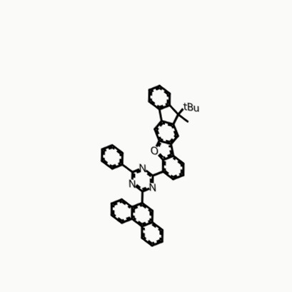 CC(C)(C)C1(C)c2ccccc2-c2cc3oc4c(-c5nc(-c6ccccc6)nc(-c6cc7ccccc7c7ccccc67)n5)cccc4c3cc21